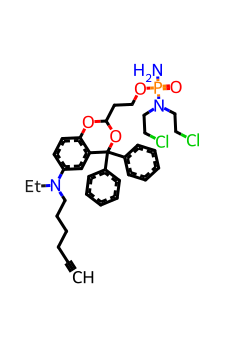 C#CCCCCN(CC)c1ccc2c(c1)C(c1ccccc1)(c1ccccc1)OC(CCOP(N)(=O)N(CCCl)CCCl)O2